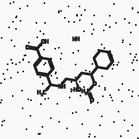 C[C@H](NC[C@@H](O)CC(O[PH2]=O)C1CC=CCC1)c1ccc(C(=O)O)cc1.[LiH]